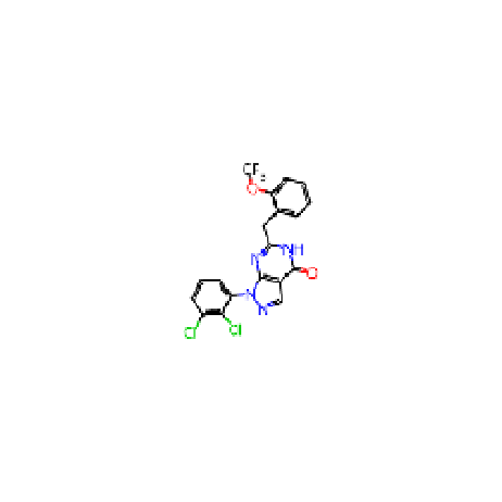 O=c1[nH]c(Cc2ccccc2OC(F)(F)F)nc2c1cnn2-c1cccc(Cl)c1Cl